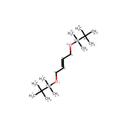 CC(C)(C)[Si](C)(C)OCC=CCO[Si](C)(C)C(C)(C)C